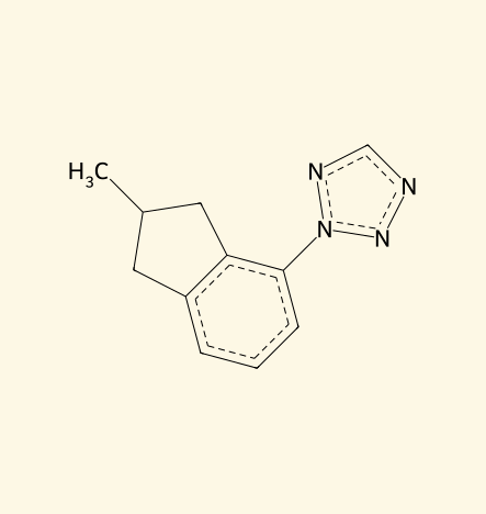 CC1Cc2cccc(-n3ncnn3)c2C1